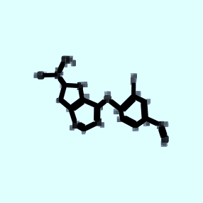 C[S+]([O-])C1Cc2ncnc(Oc3ccc(N=O)cc3F)c2S1